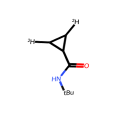 [2H]C1C([2H])C1C(=O)NC(C)(C)C